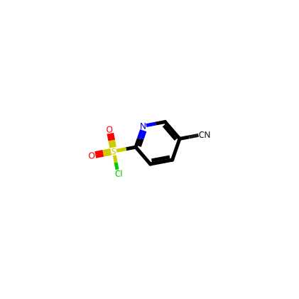 N#Cc1ccc(S(=O)(=O)Cl)nc1